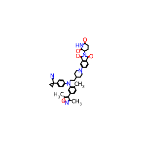 Cc1ccc(-c2c(C)noc2C)cc1N(CCC1CCN(c2ccc3c(c2)C(=O)N(C2CCC(=O)NC2=O)C3=O)CC1)c1ccc(C2(C#N)CC2)cc1